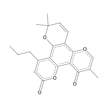 CCCc1[c]c(=O)oc2c1c1c(c3occ(C)c(=O)c32)C=CC(C)(C)O1